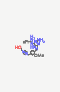 CCCC(N)Nc1nc(N)nc2cn(Cc3ccc(CN4CCN(CCO)CC4)cc3OC)nc12